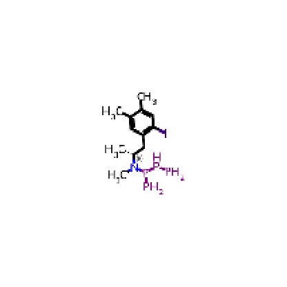 Cc1cc(I)c(C[C@@H](C)N(C)P(P)PP)cc1C